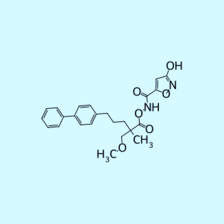 COCC(C)(CCCc1ccc(-c2ccccc2)cc1)C(=O)ONC(=O)c1cc(O)no1